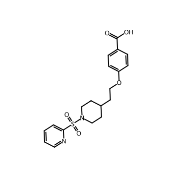 O=C(O)c1ccc(OCCC2CCN(S(=O)(=O)c3ccccn3)CC2)cc1